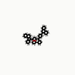 c1ccc(-c2ccccc2N(c2ccc(-c3cc4ccccc4c4ccccc34)cc2)c2ccc(-n3c4ccccc4c4c5ccccc5ccc43)cc2)cc1